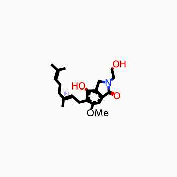 COc1cc2c(c(O)c1C/C=C(\C)CCC=C(C)C)CN(CCO)C2=O